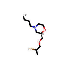 CC(C)CCCN1CCO[C@@H](COCC(C)S)C1